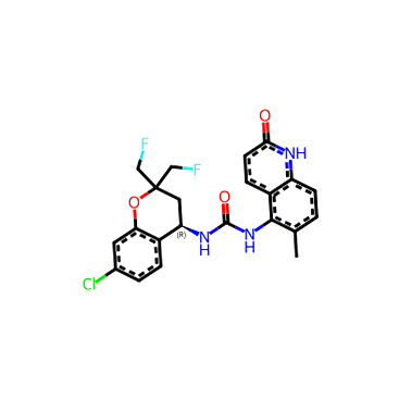 Cc1ccc2[nH]c(=O)ccc2c1NC(=O)N[C@@H]1CC(CF)(CF)Oc2cc(Cl)ccc21